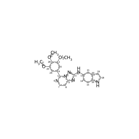 COc1cc(-c2nccc3nc(Nc4ccc5[nH]ccc5c4)nn23)cc(OC)c1OC